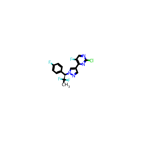 CC(F)(F)[C@@H](c1ccc(F)cc1)n1cc(-c2nc(Cl)ncc2F)cn1